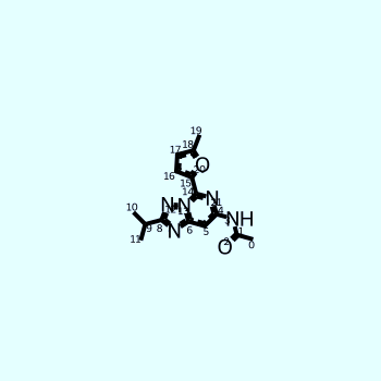 CC(=O)Nc1cc2nc(C(C)C)nn2c(-c2ccc(C)o2)n1